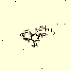 CN=C=Nc1c(C(C)C)cc(C(C)C)c(N=C=O)c1C(C)C